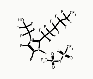 O=S(=O)([N-]S(=O)(=O)C(F)(F)F)C(F)(F)F.OC(F)(F)C(F)(F)[n+]1c(F)c(F)n(F)c1C(F)(F)C(F)(F)C(F)(F)C(F)(F)C(F)(F)C(F)(F)F